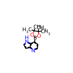 CC1(C)OB(c2ccnc3cc[nH]c23)OC1(C)C